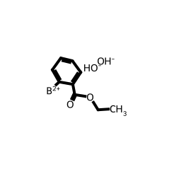 [B+2]c1ccccc1C(=O)OCC.[OH-].[OH-]